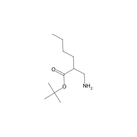 CCCCC(CN)C(=O)OC(C)(C)C